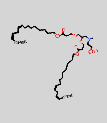 CCCCC/C=C\C/C=C\CCCCCCCCOC(=O)CCOCC(CN(C)CCO)OCCC(=O)OCCCCCCCC/C=C\C/C=C\CCCCC